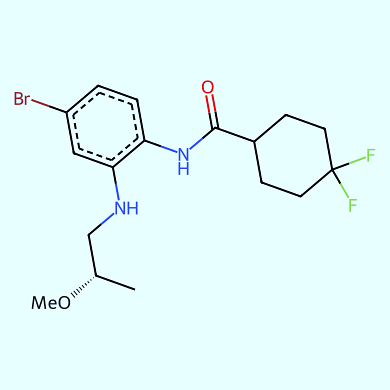 CO[C@@H](C)CNc1cc(Br)ccc1NC(=O)C1CCC(F)(F)CC1